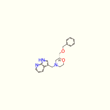 c1ccc(COC[C@H]2CN(Cc3c[nH]c4ncccc34)CCO2)cc1